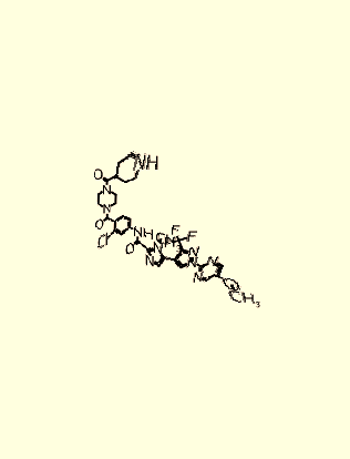 COc1cnc(-n2cc(-c3cnc(C(=O)Nc4ccc(C(=O)N5CCN(C(=O)C6CCNCC6)CC5)c(Cl)c4)n3C)c(C(F)(F)F)n2)nc1